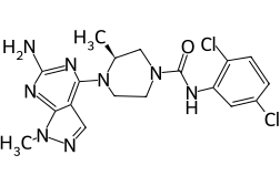 C[C@H]1CN(C(=O)Nc2cc(Cl)ccc2Cl)CCN1c1nc(N)nc2c1cnn2C